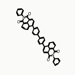 O=C1c2cccc3c(-c4ccc(-c5ccc(-c6ccc7c8c(cccc68)C(=O)N(c6ccccc6)C7=O)cc5)cc4)ccc(c23)C(=O)N1c1ccccc1